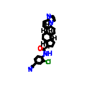 N#Cc1ccc(NC(=O)[C@@H]2CC[C@H]3[C@@H]4CCC5[C@H](C=Cc6nccn65)[C@H]4CC[C@@H]32)c(Cl)c1